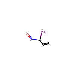 C=CC(P)N=O